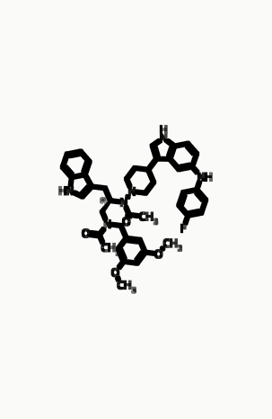 COc1cc(CN(C[C@@H](Cc2c[nH]c3ccccc23)N(C(C)=O)N2CCC(c3c[nH]c4ccc(Nc5ccc(F)cc5)cc34)CC2)C(C)=O)cc(OC)c1